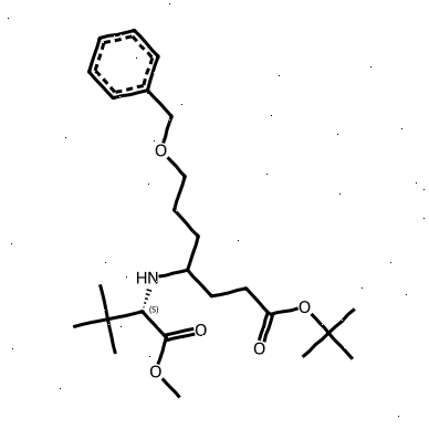 COC(=O)[C@@H](NC(CCCOCc1ccccc1)CCC(=O)OC(C)(C)C)C(C)(C)C